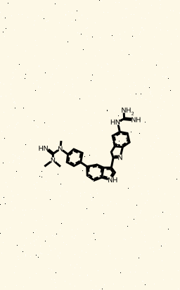 CN(C)C(=N)N(C)c1ccc(-c2ccc3[nH]cc(C4=Nc5ccc(NC(=N)N)cc5C4)c3c2)cc1